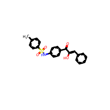 Cc1ccc(S(=O)(=O)Nc2ccc(C(=O)/C(O)=C/c3ccccc3)cc2)cc1